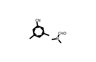 CN(C)C=O.Cc1cc(C)cc(C#N)c1